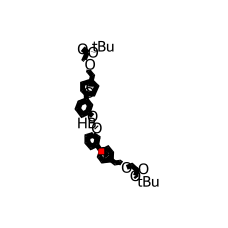 CC(C)(C)OC(=O)COCCC12CCC(c3cccc(OBOc4cccc(C56CCC(CCOCC(=O)OC(C)(C)C)(CC5)CO6)c4)c3)(CC1)OC2